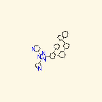 c1ccc(-c2cc(-c3nc(-c4cccnc4)nc(-c4cccnc4)n3)ccc2-c2cccc(-c3cccc(-c4cccc5ccccc45)c3)c2)cc1